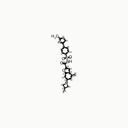 Cc1nc(-c2ccc(S(=O)(=O)NC(=O)c3cc4c(F)cc(N5CC(F)C5)cc4o3)cc2)cs1